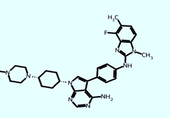 Cc1ccc2c(nc(Nc3ccc(-c4cn([C@H]5CC[C@@H](N6CCN(C)CC6)CC5)c5ncnc(N)c45)cc3)n2C)c1F